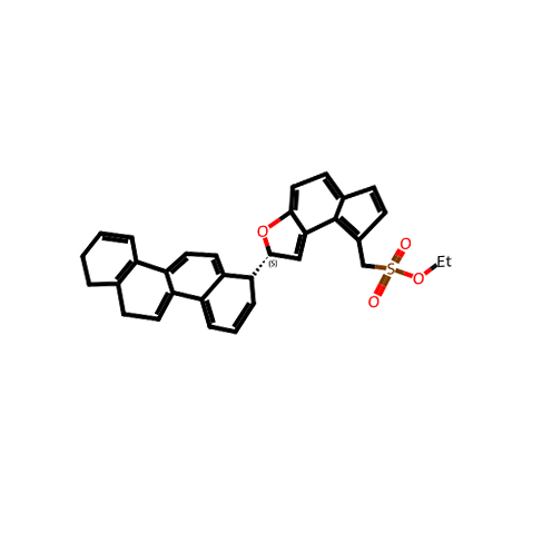 CCOS(=O)(=O)CC1=c2c(ccc3c2=C[C@H](C2C=CC=c4c2ccc2c4=CCC4=C2C=CCC4)O3)C=C1